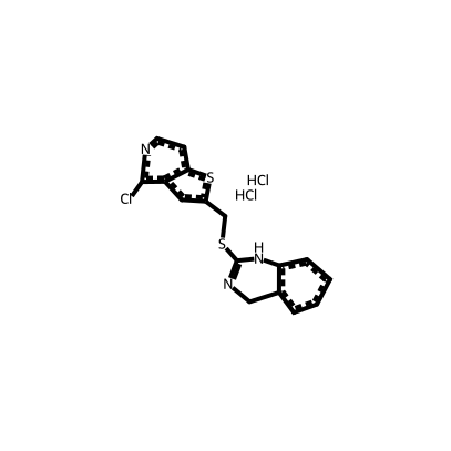 Cl.Cl.Clc1nccc2sc(CSC3=NCc4ccccc4N3)cc12